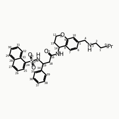 CC(C)CCNCc1ccc2c(c1)OCCC2NC(=O)CC(NS(=O)(=O)c1cccc2ccccc12)c1ccccc1